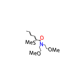 C/C=C/C=C(\SC)C(=O)N(CCOC)CCOC